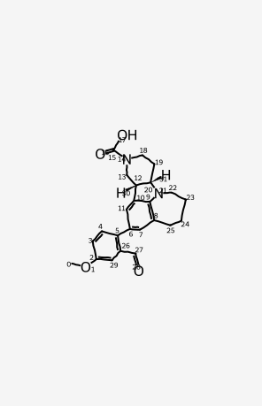 COc1ccc(-c2cc3c4c(c2)[C@@H]2CN(C(=O)O)CC[C@@H]2N4CCCC3)c(C=O)c1